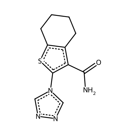 NC(=O)c1c(-n2cnnc2)sc2c1CCCC2